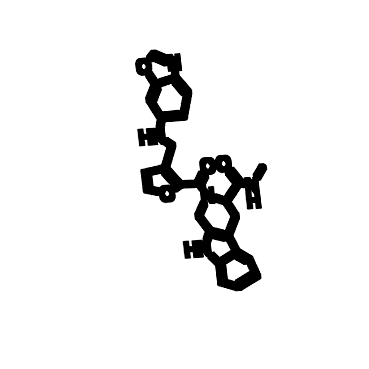 CNC(=O)C1Cc2c([nH]c3ccccc23)CN1C(=O)c1occc1CNc1ccc2ncoc2c1